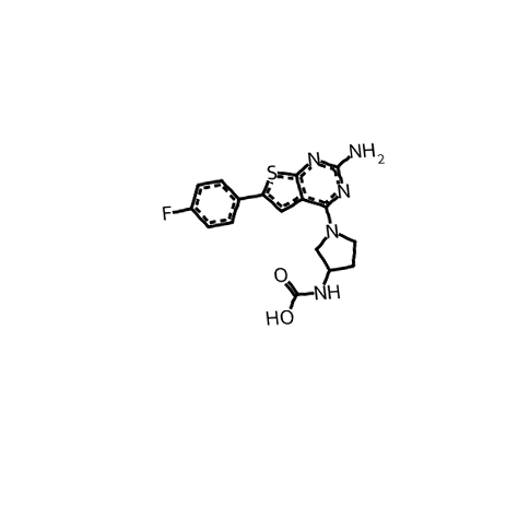 Nc1nc(N2CCC(NC(=O)O)C2)c2cc(-c3ccc(F)cc3)sc2n1